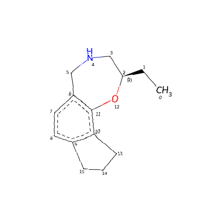 CC[C@@H]1CNCc2ccc3c(c2O1)CCC3